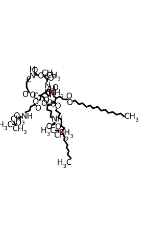 CCCCCCCCCCCCCCCOC(=O)CCC(NC(=O)C1C(C(N)=O)NC(=O)C(C)(C)OC(=O)NCCCC(=O)OCC1(COC(=O)CCCNC(=O)OC(C)(C)C)COC(=O)CCCNC(=O)OC(C)(C)C)C(=O)OCCCCCCCCCCCCCCC